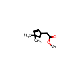 CC(C)OC(=O)CC1C=CC(C)(C)C1